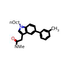 CCCCCCCCn1cc(CC(=O)NC)c2cc(-c3cccc(C)c3)ccc21